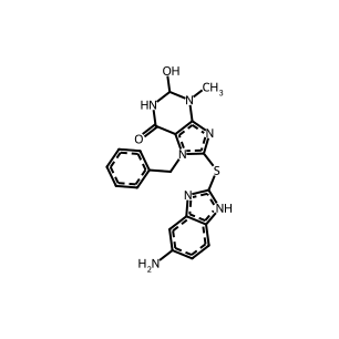 CN1c2nc(Sc3nc4cc(N)ccc4[nH]3)n(Cc3ccccc3)c2C(=O)NC1O